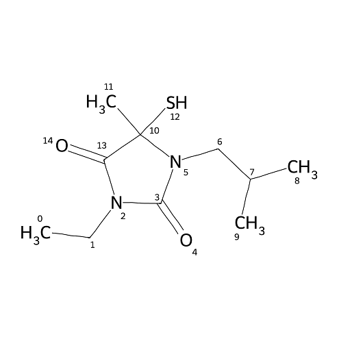 CCN1C(=O)N(CC(C)C)C(C)(S)C1=O